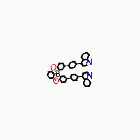 c1cc2c3c(c1)Oc1ccc(-c4ccc(-c5ccnc6ccccc56)cc4)cc1B3c1cc(-c3ccc(-c4ccnc5ccccc45)cc3)ccc1O2